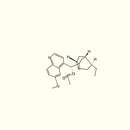 CC[C@H]1CN2CC[C@H]1C[C@H]2[C@H](OC(C)=O)c1ccnc2ccc(OC)cc12